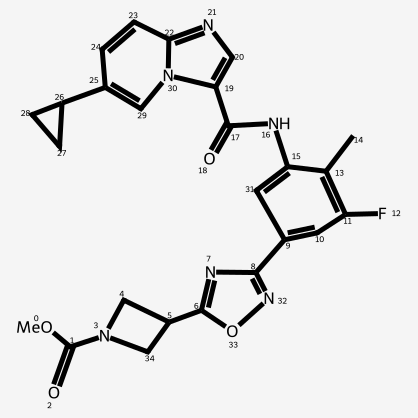 COC(=O)N1CC(c2nc(-c3cc(F)c(C)c(NC(=O)c4cnc5ccc(C6CC6)cn45)c3)no2)C1